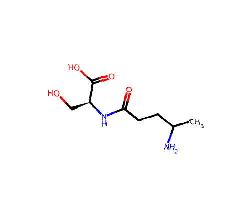 CC(N)CCC(=O)N[C@@H](CO)C(=O)O